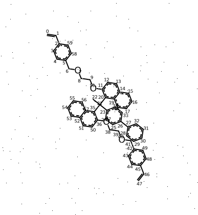 C=Cc1ccc(COCCOc2ccc3ccccc3c2C(C)(c2ccc(-c3ccccc3)cc2)c2c(OCCOCc3ccc(C=C)cc3)ccc3ccccc23)cc1